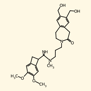 COc1cc2c(cc1OC)C(C(=N)N(C)CCCN1CCc3cc(CO)c(CO)cc3CC1=O)C2